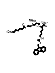 CCCCCCCCCCCCCCCC(=O)OCCSC[C@H](NC(C)=O)C(=O)NC(CCCCNC(=O)OCC1c2ccccc2-c2ccccc21)C(=O)OC